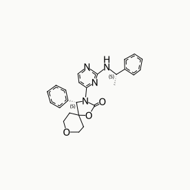 C[C@H](Nc1nccc(N2C(=O)OC3(CCOCC3)[C@@H]2c2ccccc2)n1)c1ccccc1